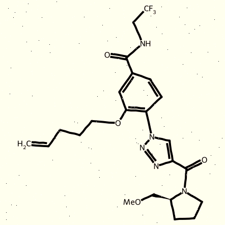 C=CCCCOc1cc(C(=O)NCC(F)(F)F)ccc1-n1cc(C(=O)N2CCC[C@H]2COC)nn1